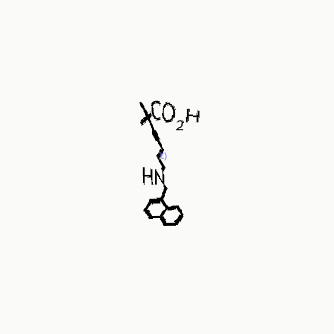 CC(C)(C#C/C=C/CNCc1cccc2ccccc12)C(=O)O